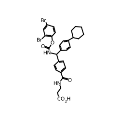 O=C(O)CCNC(=O)c1ccc(C(NC(=O)Oc2ccc(Br)cc2Br)c2ccc(C3CCCCC3)cc2)cc1